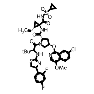 C=C[C@@H]1C[C@]1(NC(=O)[C@@H]1C[C@@H](Oc2ncc(OC)c3ccc(Cl)cc23)CN1C(=O)[C@@H](NC1=NC(c2ccc(F)cc2F)CS1)C(C)(C)C)C(=O)NS(=O)(=O)C1CC1